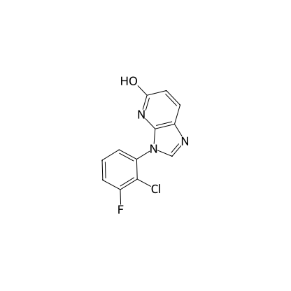 Oc1ccc2ncn(-c3cccc(F)c3Cl)c2n1